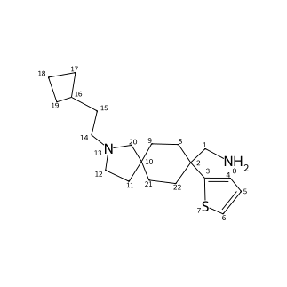 NCC1(c2cccs2)CCC2(CCN(CCC3CCC3)C2)CC1